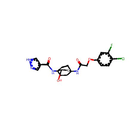 O=C(COc1ccc(Cl)c(F)c1)NC12CCC(NC(=O)c3cn[nH]c3)(CC1)C(O)C2